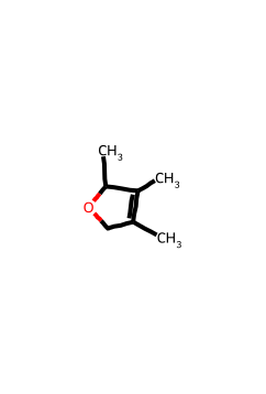 CC1=C(C)C(C)OC1